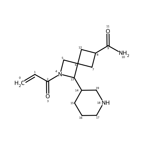 C=CC(=O)N1CC2(CC(C(N)=O)C2)C1C1CCCNC1